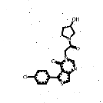 O=C(Cn1cnc2csc(-c3ccc(Cl)cc3)c2c1=O)N1CCC(O)C1